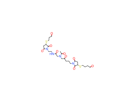 CC(=O)N(CC(=O)CCCN1C(=O)CC(SCCCC=O)C1=O)CC(=O)NCCN1C(=O)CC(SCCC=O)C1=O